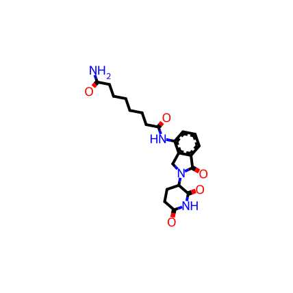 NC(=O)CCCCCCC(=O)Nc1cccc2c1CN(C1CCC(=O)NC1=O)C2=O